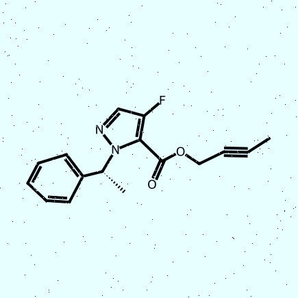 CC#CCOC(=O)c1c(F)cnn1[C@H](C)c1ccccc1